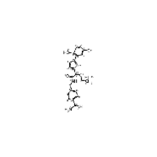 CCO[C@@H](C(=O)NCc1ccc(C(=N)N)cc1)n1ccc(-c2cc(Cl)ccc2O)n1.Cl